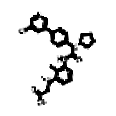 Cc1c(NC(=O)[C@H](c2ccc(-c3cncc(Cl)c3)cc2)C2CCCC2)cccc1[C@@H](C)CC(=O)O